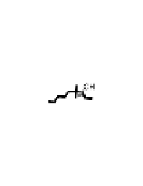 C=C[C@@H](O)C(C)(C)CCCCC